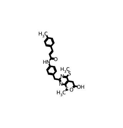 CSc1nc(Cc2ccc(NC(=O)/C=C/c3ccc(C)cc3)cc2)nc(SC)c1CC(=O)O